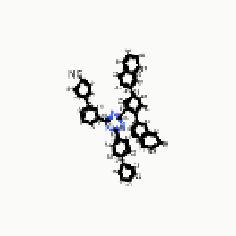 N#Cc1ccc(-c2cccc(-c3nc(-c4ccc(-c5ccccc5)cc4)nc(-c4cc(-c5ccc6ccccc6c5)ccc4-c4ccc5ccccc5c4)n3)c2)cc1